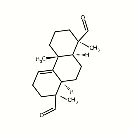 C[C@]1(C=O)CCC=C2[C@H]1CC[C@H]1[C@@]2(C)CCC[C@@]1(C)C=O